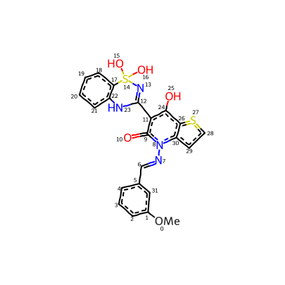 COc1cccc(C=Nn2c(=O)c(C3=NS(O)(O)c4ccccc4N3)c(O)c3sccc32)c1